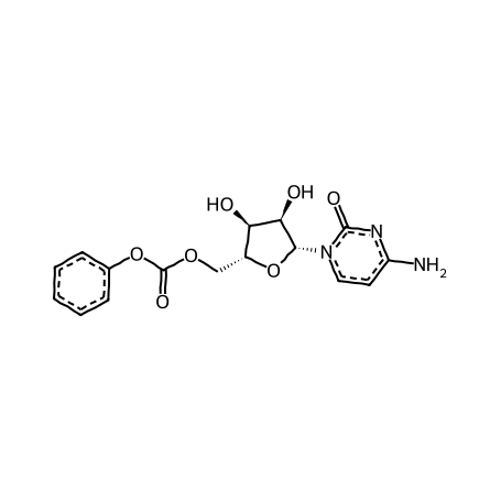 Nc1ccn([C@@H]2O[C@H](COC(=O)Oc3ccccc3)[C@@H](O)[C@H]2O)c(=O)n1